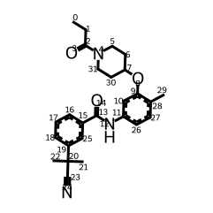 CCC(=O)N1CCC(Oc2cc(NC(=O)c3cccc(C(C)(C)C#N)c3)ccc2C)CC1